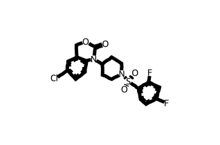 O=C1OCc2cc(Cl)ccc2N1C1CCN(S(=O)(=O)c2ccc(F)cc2F)CC1